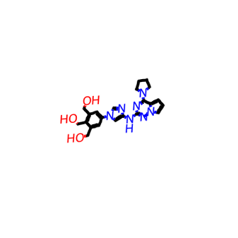 OCc1cc(-n2cnc(Nc3nc(N4CCCC4)c4cccn4n3)c2)cc(CO)c1CO